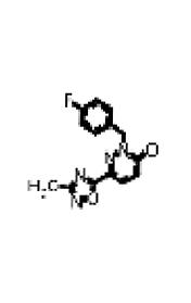 Cc1noc(-c2ccc(=O)n(Cc3ccc(F)cc3)n2)n1